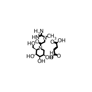 CN(CC(=O)N1C[C@@H](O)[C@@H](O)[C@H](O)[C@H]1CO)C(=N)N.O=C(O)/C=C/C(=O)O